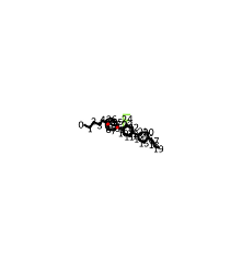 CCCCCC12CCC(c3ccc(C4CCC(CCC)CC4)cc3F)(CC1)CC2